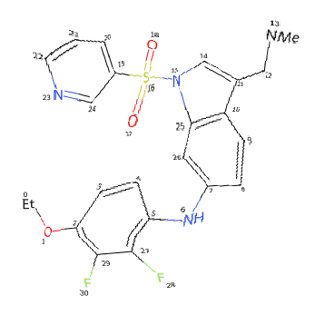 CCOc1ccc(Nc2ccc3c(CNC)cn(S(=O)(=O)c4cccnc4)c3c2)c(F)c1F